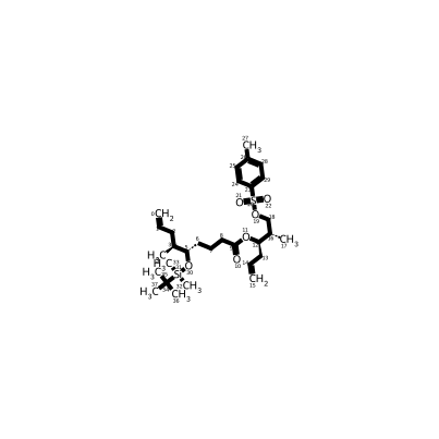 C=CC[C@H](C)[C@H](CCCC(=O)O[C@H](CC=C)[C@@H](C)COS(=O)(=O)c1ccc(C)cc1)O[Si](C)(C)C(C)(C)C